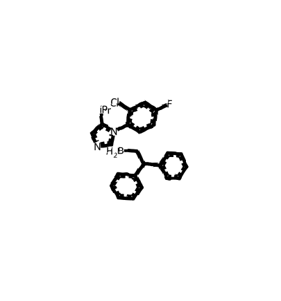 BCC(c1ccccc1)c1ccccc1.CC(C)c1cncn1-c1ccc(F)cc1Cl